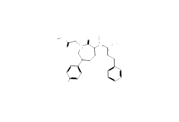 CCOC(=O)[C@H](CCc1ccccc1)NC1CCC(c2ccc(F)cc2)CN(CC(=O)OC(C)(C)C)C1=O